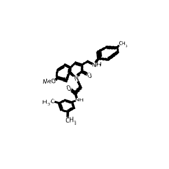 COc1ccc2cc(CNc3ccc(C)cc3)c(=O)n(CC(=O)Nc3cc(C)cc(C)c3)c2c1